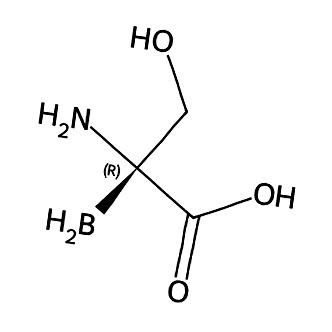 B[C@@](N)(CO)C(=O)O